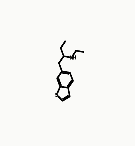 CCNC(CC)Cc1ccc2ccsc2c1